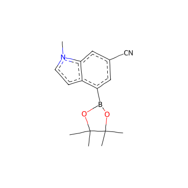 Cn1ccc2c(B3OC(C)(C)C(C)(C)O3)cc(C#N)cc21